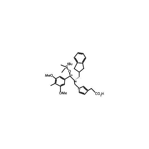 COc1cc([C@@H](O[Si](C)(C)C(C)(C)C)[C@H](CC2Cc3ccccc3C2)Cn2ccc(CC(=O)O)c2)cc(OC)c1C